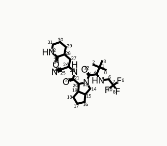 CC(C)(C)C(NCC(F)(F)F)C(=O)N1CC2CCCC2C1C(=O)NC(C#N)CC1CCCNC1=O